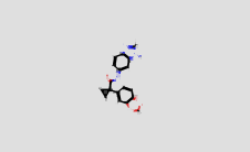 CCn1c(C(C)(C)C)nc2ccc(NC(=O)C3(c4ccc5c(c4)OCO5)CC3)cc21